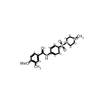 COc1ccc(C(=O)NC2=CCC(S(=O)(=O)N3CCN(C)CC3)C=C2)cc1C